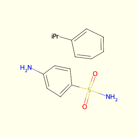 CC(C)c1ccccc1.Nc1ccc(S(N)(=O)=O)cc1